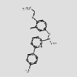 CCCC[C@@H](Sc1ccc(OCC(=O)OCC)c(C)c1)c1cccc(-c2ccc(C(F)(F)F)cc2)n1